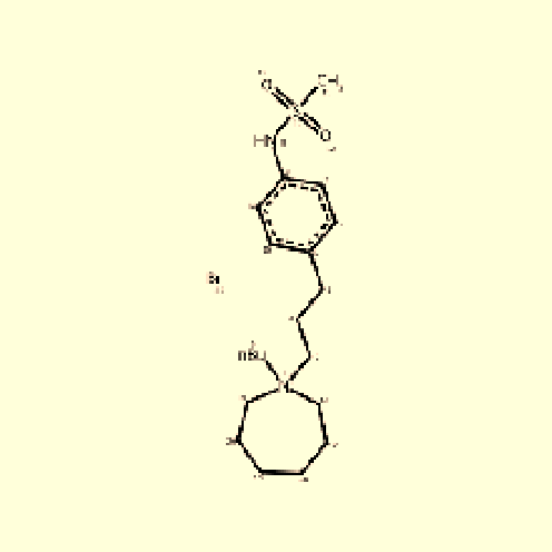 CCCC[N+]1(CCCc2ccc(NS(C)(=O)=O)cc2)CCCCCC1.[Br-]